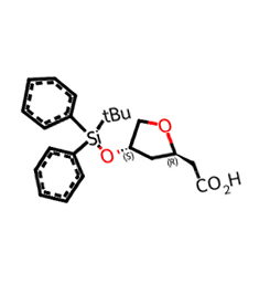 CC(C)(C)[Si](O[C@@H]1CO[C@@H](CC(=O)O)C1)(c1ccccc1)c1ccccc1